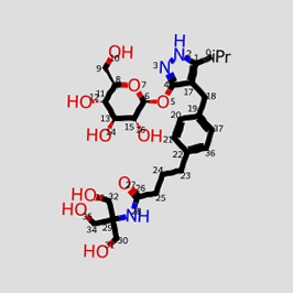 CC(C)c1[nH]nc(O[C@@H]2O[C@H](CO)[C@@H](O)[C@H](O)[C@H]2O)c1Cc1ccc(CCCC(=O)NC(CO)(CO)CO)cc1